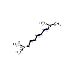 CN(C)/C=C/C=C/C=C/C=[N+](C)C